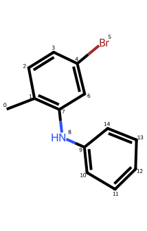 Cc1ccc(Br)cc1Nc1ccccc1